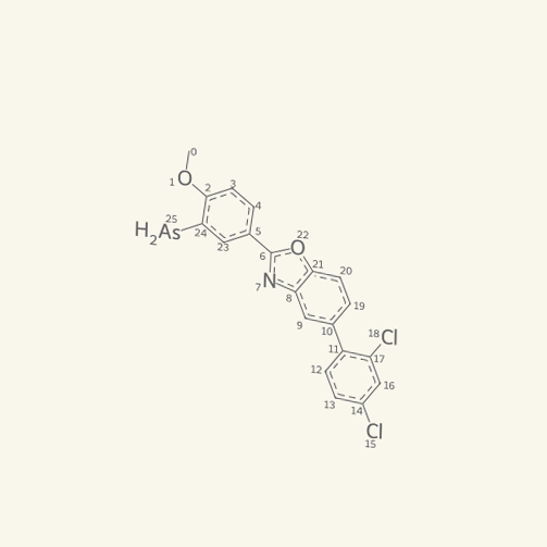 COc1ccc(-c2nc3cc(-c4ccc(Cl)cc4Cl)ccc3o2)cc1[AsH2]